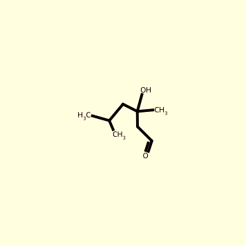 CC(C)CC(C)(O)CC=O